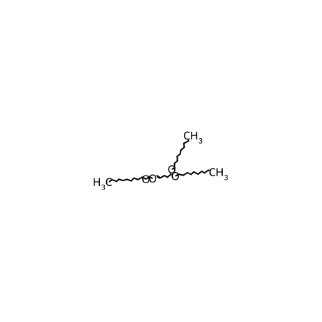 CCCCCCCCCCOCOC=CCCC(OCCCCCCCCCC)OCCCCCCCCCC